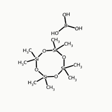 C[Si]1(C)O[Si](C)(C)O[Si](C)(C)O[Si](C)(C)O1.OB(O)O